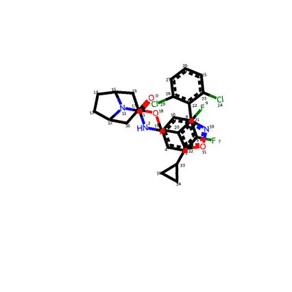 O=C(Nc1ccc(F)c(F)c1)N1C2CCC1CC(OCc1c(-c3c(Cl)cccc3Cl)noc1C1CC1)C2